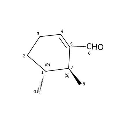 C[C@@H]1CCC=C(C=O)[C@H]1C